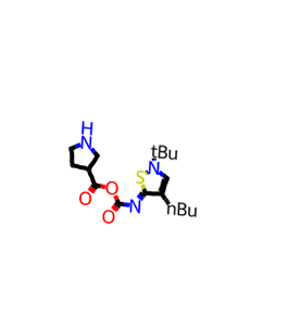 CCCCc1cn(C(C)(C)C)sc1=NC(=O)OC(=O)C1CCNC1